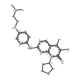 CC(=O)c1c(C)c2cnc(Nc3ccc(OCCN(C)C)cn3)nc2n(C2CCCC2)c1=O